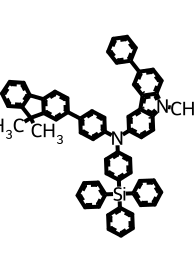 Cn1c2ccc(-c3ccccc3)cc2c2cc(N(c3ccc(-c4ccc5c(c4)C(C)(C)c4ccccc4-5)cc3)c3ccc([Si](c4ccccc4)(c4ccccc4)c4ccccc4)cc3)ccc21